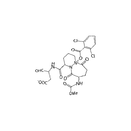 COC(=O)NC1CCC(=O)[N+]2(OC(=O)c3c(Cl)cccc3Cl)CCCC(C(=O)NC(C=O)CC(=O)[O-])N2C1=O